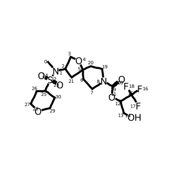 CN(C1COC2(CCN(C(=O)OC(CO)C(F)(F)F)CC2)C1)S(=O)(=O)C1CCOCC1